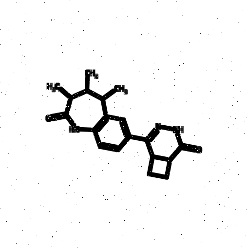 CC1C(=O)Nc2ccc(C3=NNC(=O)C4CCC34)cc2C(C)C1C